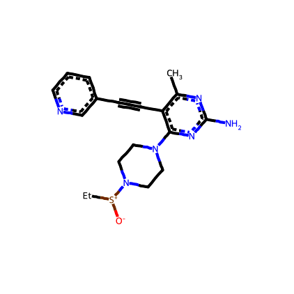 CC[S+]([O-])N1CCN(c2nc(N)nc(C)c2C#Cc2cccnc2)CC1